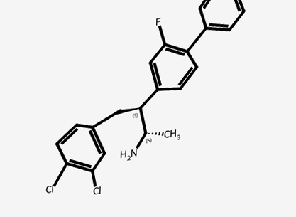 C[C@H](N)[C@@H](Cc1ccc(Cl)c(Cl)c1)c1ccc(-c2ccccc2)c(F)c1